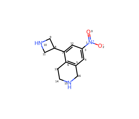 O=[N+]([O-])c1cc2c(c(C3CNC3)c1)CCNC2